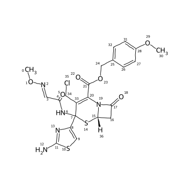 CON=CC(=O)NC1(c2csc(N)n2)S[C@H]2CC(=O)N2C(C(=O)OCc2ccc(OC)cc2)=C1CCl